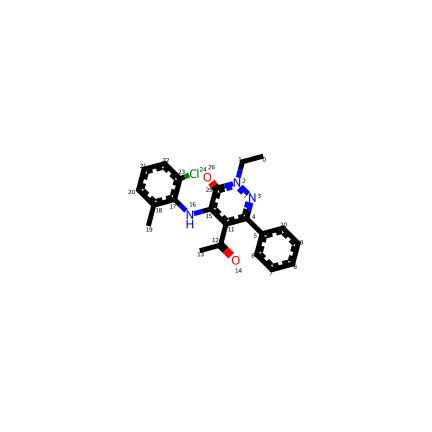 CCn1nc(-c2ccccc2)c(C(C)=O)c(Nc2c(C)cccc2Cl)c1=O